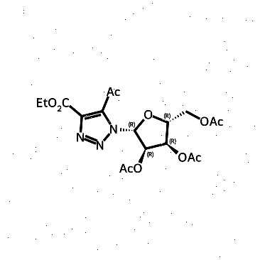 CCOC(=O)c1nnn([C@@H]2O[C@H](COC(C)=O)[C@@H](OC(C)=O)[C@H]2OC(C)=O)c1C(C)=O